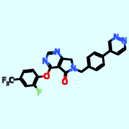 O=C1c2c(ncnc2Oc2ccc(C(F)(F)F)cc2F)CN1Cc1ccc(-c2ccnnc2)cc1